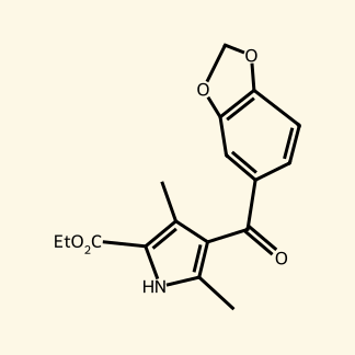 CCOC(=O)c1[nH]c(C)c(C(=O)c2ccc3c(c2)OCO3)c1C